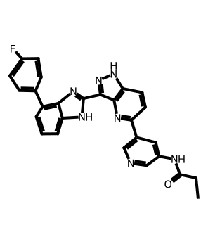 CCC(=O)Nc1cncc(-c2ccc3[nH]nc(-c4nc5c(-c6ccc(F)cc6)cccc5[nH]4)c3n2)c1